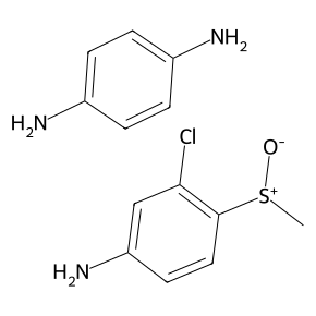 C[S+]([O-])c1ccc(N)cc1Cl.Nc1ccc(N)cc1